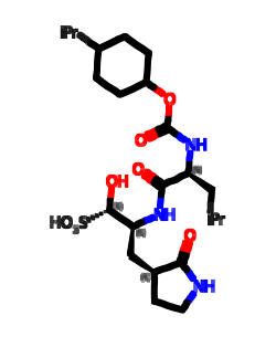 CC(C)C[C@H](NC(=O)OC1CCC(C(C)C)CC1)C(=O)N[C@@H](C[C@@H]1CCNC1=O)[C@@H](O)S(=O)(=O)O